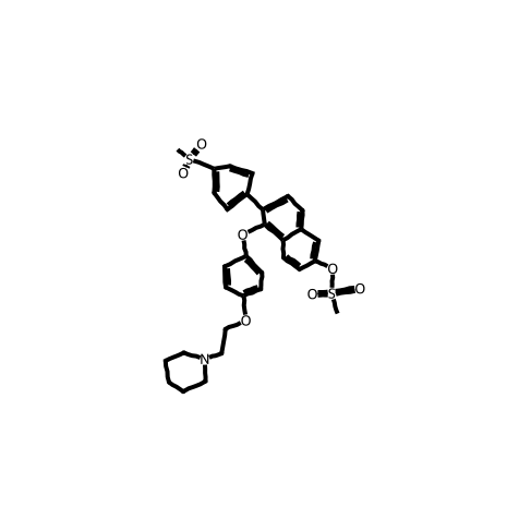 CS(=O)(=O)Oc1ccc2c(Oc3ccc(OCCN4CCCCC4)cc3)c(-c3ccc(S(C)(=O)=O)cc3)ccc2c1